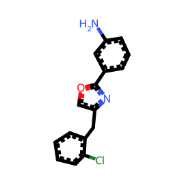 Nc1cccc(-c2nc(Cc3ccccc3Cl)co2)c1